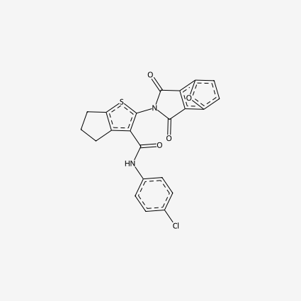 O=C(Nc1ccc(Cl)cc1)c1c(N2C(=O)c3c(c4ccc3o4)C2=O)sc2c1CCC2